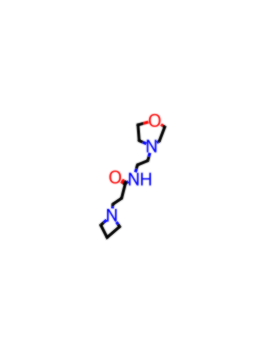 O=C(CCN1CCC1)NCCN1CCOCC1